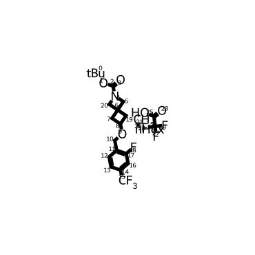 CC(C)(C)OC(=O)N1CC2(CC(OCc3ccc(C(F)(F)F)cc3F)C2)C1.CCCCCCC.O=C(O)C(F)(F)F